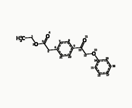 CCOC(=O)Cc1ccc(C(=O)COc2ccccc2)cc1